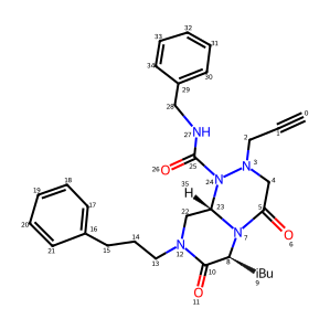 C#CCN1CC(=O)N2[C@@H](C(C)CC)C(=O)N(CCCc3ccccc3)C[C@@H]2N1C(=O)NCc1ccccc1